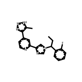 CCC(c1ccccc1F)n1cnc(-c2cc(-c3nn[nH]c3C)ccn2)c1